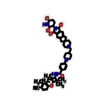 Cc1cc(O[C@H]2C(C)(C)[C@H](NC(=O)c3ccc(N4CCC(CN5CCC6(CC5)Cc5cc7c(cc5C6)C(=O)N(C5CCC(=O)NC5=O)C7=O)CC4)cc3)C2(C)C)ccc1C#N